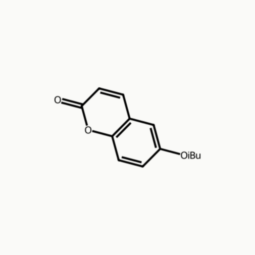 CC(C)COc1ccc2oc(=O)ccc2c1